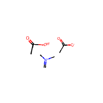 C=[N+](C)C.CC(=O)O.CC(=O)[O-]